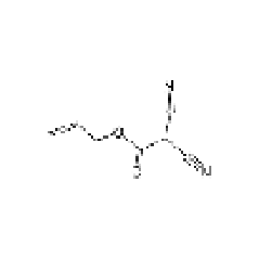 C=CCOC(=O)C(C#N)C#N